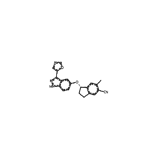 Cc1cc2c(cc1C#N)CC[C@@H]2Oc1ccc2[nH]nc(-c3cnco3)c2c1